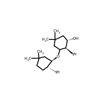 CC(C)[C@H]1C(O[C@@H]2CC(C)(C)CC[C@H]2C(C)C)CC(C)(C)C[C@@H]1O